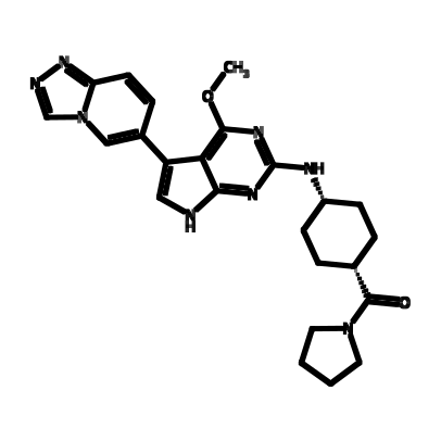 COc1nc(N[C@H]2CC[C@@H](C(=O)N3CCCC3)CC2)nc2[nH]cc(-c3ccc4nncn4c3)c12